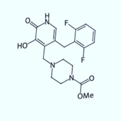 COC(=O)N1CCN(Cc2c(Cc3c(F)cccc3F)c[nH]c(=O)c2O)CC1